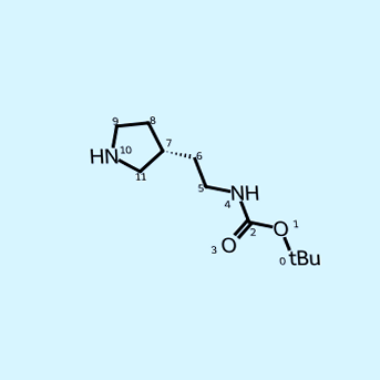 CC(C)(C)OC(=O)NCC[C@H]1CCNC1